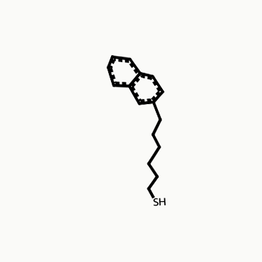 SCCCCCCc1ccc2ccccc2c1